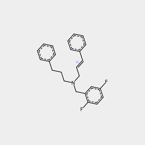 Fc1ccc(F)c(CN(C/C=C/c2ccccc2)CCCc2ccccc2)c1